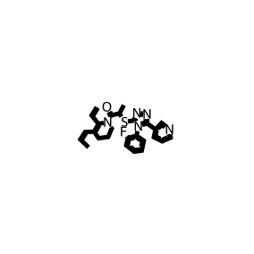 C=CC1=C(/C=C\C)CCCN1C(=O)C(C)Sc1nnc(-c2cccnc2)n1-c1ccccc1F